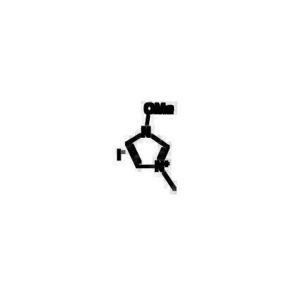 COn1cc[n+](C)c1.[I-]